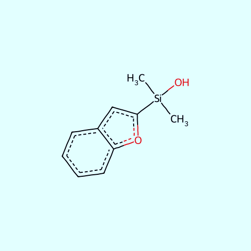 C[Si](C)(O)c1cc2ccccc2o1